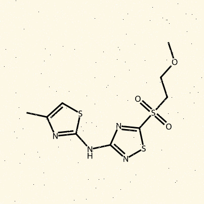 COCCS(=O)(=O)c1nc(Nc2nc(C)cs2)ns1